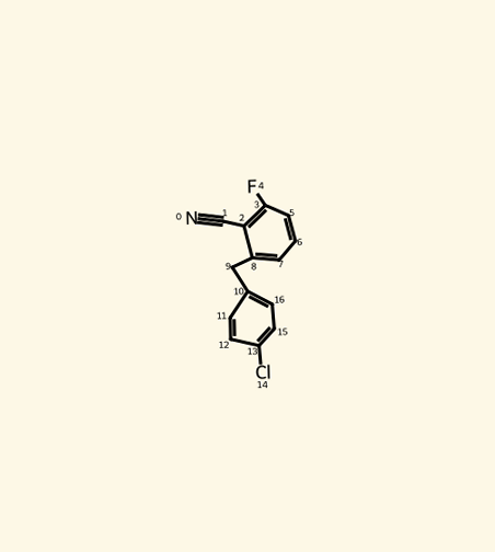 N#Cc1c(F)cccc1Cc1ccc(Cl)cc1